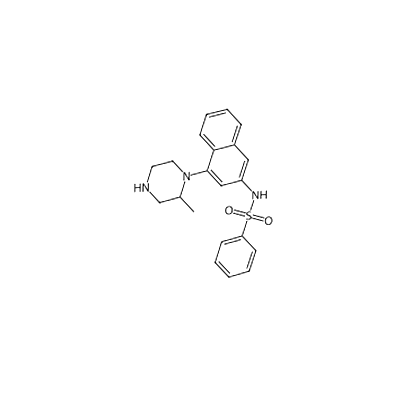 CC1CNCCN1c1cc(NS(=O)(=O)c2ccccc2)cc2ccccc12